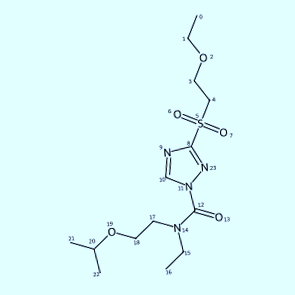 CCOCCS(=O)(=O)c1ncn(C(=O)N(CC)CCOC(C)C)n1